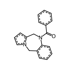 O=C(c1ccccc1)N1Cc2cccn2Cc2ccccc21